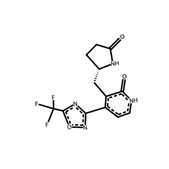 O=C1CC[C@@H](Cc2c(-c3noc(C(F)(F)F)n3)cc[nH]c2=O)N1